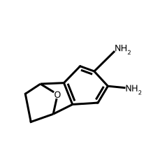 Nc1cc2c(cc1N)C1CCC2O1